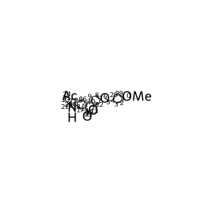 COc1ccc(COc2ccc3c(c2)oc(=O)c2cc(NC(C)(C)CC(C)=O)ccc23)cc1